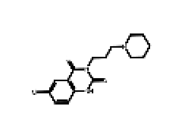 O=c1c2cc(Cl)ccc2[nH]c(=S)n1CCCN1CCCCC1